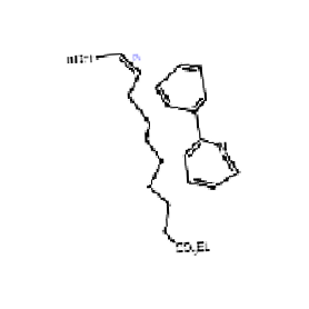 CCCCCCCC/C=C\CCCCCCCC(=O)OCC.c1ccc(-c2ccccn2)cc1